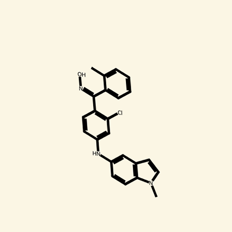 Cc1ccccc1C(=NO)c1ccc(Nc2ccc3c(ccn3C)c2)cc1Cl